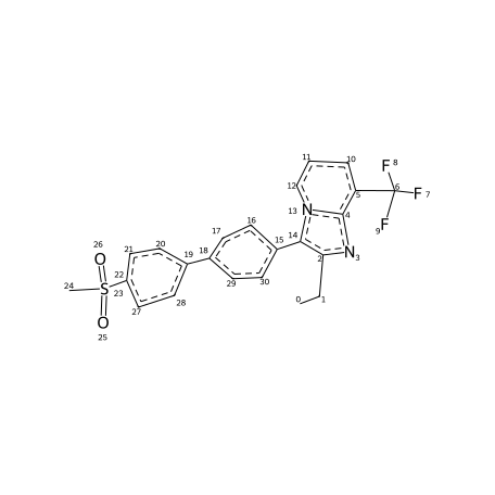 CCc1nc2c(C(F)(F)F)cccn2c1-c1ccc(-c2ccc(S(C)(=O)=O)cc2)cc1